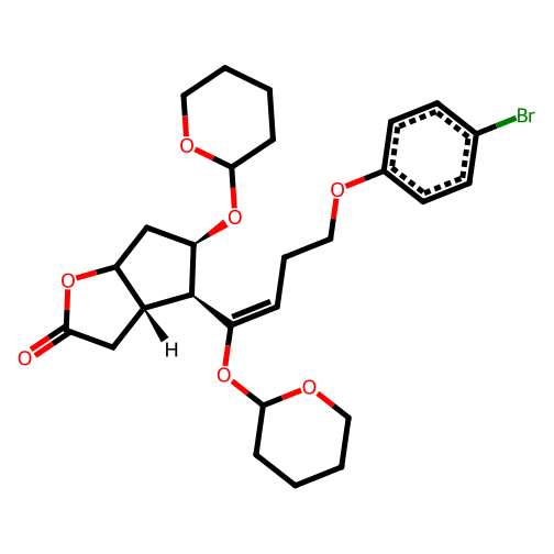 O=C1C[C@@H]2C(C[C@@H](OC3CCCCO3)[C@H]2/C(=C\CCOc2ccc(Br)cc2)OC2CCCCO2)O1